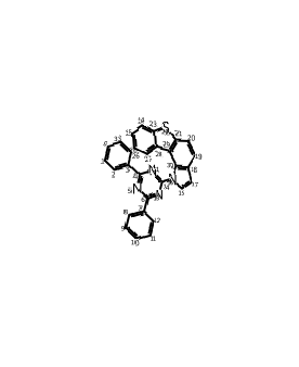 c1ccc(-c2nc(-c3ccccc3)nc(-n3ccc4ccc5sc6ccccc6c5c43)n2)cc1